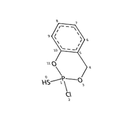 S[P]1(Cl)OCc2ccccc2O1